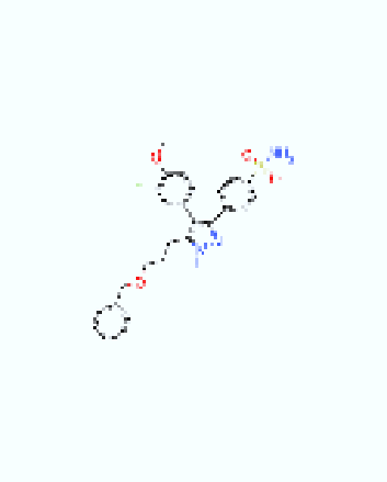 COc1ccc(-c2c(-c3ccc(S(N)(=O)=O)cc3)n[nH]c2CCCOCc2ccccc2)cc1F